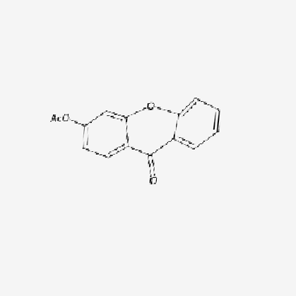 CC(=O)Oc1ccc2c(=O)c3ccccc3oc2c1